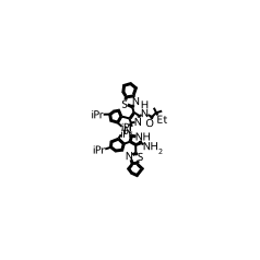 CCC(C)(C)C(=O)NC1=N/C(=N\c2[nH]c(N)c(-c3nc4ccccc4s3)c2-c2ccc(C(C)C)cc2C(C)C)C(c2ccc(C(C)C)cc2C(C)C)=C1c1nc2ccccc2s1